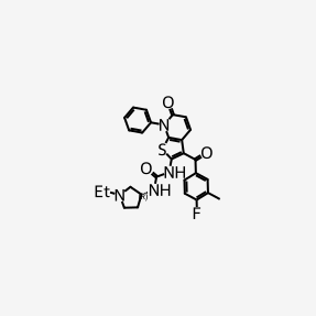 CCN1CC[C@@H](NC(=O)Nc2sc3c(ccc(=O)n3-c3ccccc3)c2C(=O)c2ccc(F)c(C)c2)C1